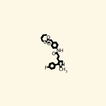 Cn1ncc(/C=C/C(=O)Nc2ccc(CP3(=O)OCC=CCO3)cc2)c1-c1ccc(F)cc1